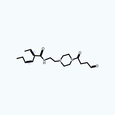 C/C=C(\C=C/CC)C(=O)NCCN1CCN(C(=O)CCC=O)CC1